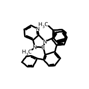 Cc1ccc#cc1N1B(c2c(C3=CCCC=C3)cccc2-c2ccccc2)N(C)c2cccnc21